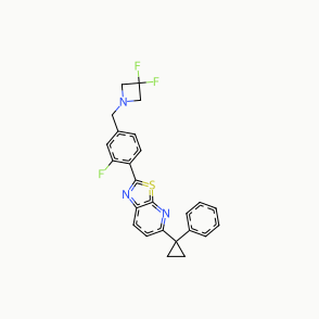 Fc1cc(CN2CC(F)(F)C2)ccc1-c1nc2ccc(C3(c4ccccc4)CC3)nc2s1